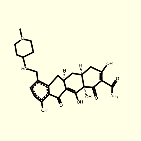 CN1CCC(NCc2ccc(O)c3c2C[C@H]2C[C@H]4CC(O)=C(C(N)=O)C(=O)[C@@]4(O)C(O)=C2C3=O)CC1